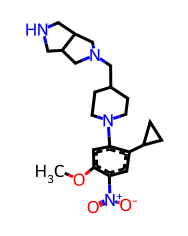 COc1cc(N2CCC(CN3CC4CNCC4C3)CC2)c(C2CC2)cc1[N+](=O)[O-]